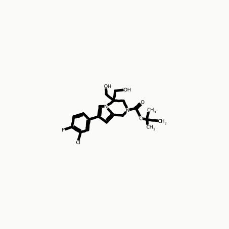 CC(C)(C)OC(=O)N1Cc2cc(-c3ccc(F)c(Cl)c3)cn2C(CO)(CO)C1